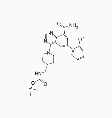 COc1ccccc1-c1cc(C(N)=O)c2ncnc(N3CCC(CNC(=O)OC(C)(C)C)CC3)c2c1